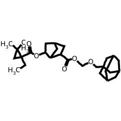 CCC1(C(=O)OC2CC3CC(C(=O)OCOCC45CC6CC(CC(C6)C4)C5)C2C3)CC1(C)C